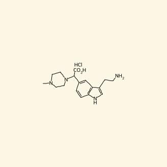 CN1CCN(C(C(=O)O)c2ccc3[nH]cc(CCN)c3c2)CC1.Cl